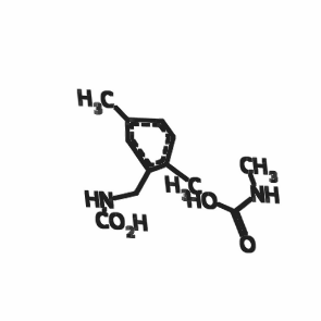 CNC(=O)O.Cc1ccc(C)c(CNC(=O)O)c1